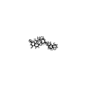 Cc1cc(=O)n2c3c1ccc(=O)n3[C@H](CN1CCC(NCc3cc4c(cn3)OCCS4)CC1)C2.Cl